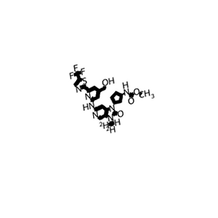 [2H]C([2H])([2H])n1c(=O)n([C@@H]2CC[C@@H](NC(=O)OC)C2)c2cc(Nc3cc(CO)cc(-c4ncc(C(F)(F)F)s4)n3)ncc21